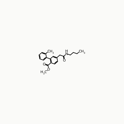 CCCCNC(=O)Cc1ccc(C(=O)OC)c(-c2ccccc2C)c1